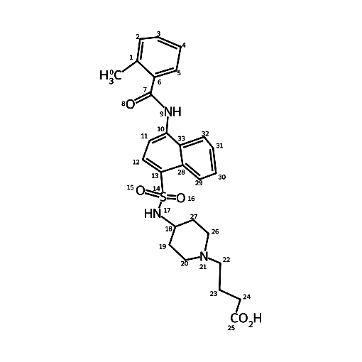 Cc1ccccc1C(=O)Nc1ccc(S(=O)(=O)NC2CCN(CCCC(=O)O)CC2)c2ccccc12